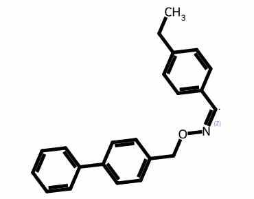 CCc1ccc(/[C]=N\OCc2ccc(-c3ccccc3)cc2)cc1